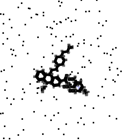 CCC(=O)c1ccc2c(c1)N(CCN1CCN(CCO)CC1)c1ccccc1S2.O=C([O-])/C=C\C(=O)[O-].O=C([O-])/C=C\C(=O)[O-].[H+].[H+].[H+].[H+]